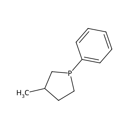 CC1CCP(c2ccccc2)C1